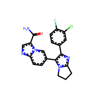 NC(=O)c1cnc2ccc(-c3c(-c4ccc(F)c(Cl)c4)nc4n3CCC4)cn12